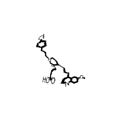 COc1ccc2nccc(CCC[C@@H]3CCN(CCCc4ccc(Cl)cc4)C[C@@H]3CCC(=O)O)c2c1